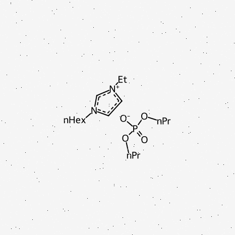 CCCCCCn1cc[n+](CC)c1.CCCOP(=O)([O-])OCCC